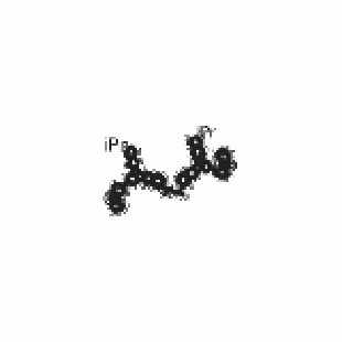 CC(C)c1ccc2cc3c(cc2c1)c1cc(-c2ccc4oc5ccccc5c4c2)cc2c4cc5cc(C(C)CCC(C)c6ccc7cc8c(cc7c6)c6cc(-c7cccc9oc%10ccccc%10c79)cc7c9cc%10cc(C(C)C)ccc%10cc9n8c76)ccc5cc4n3c12